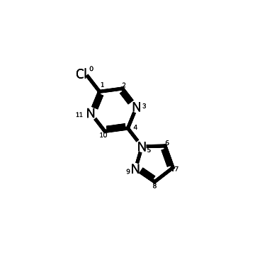 Clc1cnc(-n2c[c]cn2)cn1